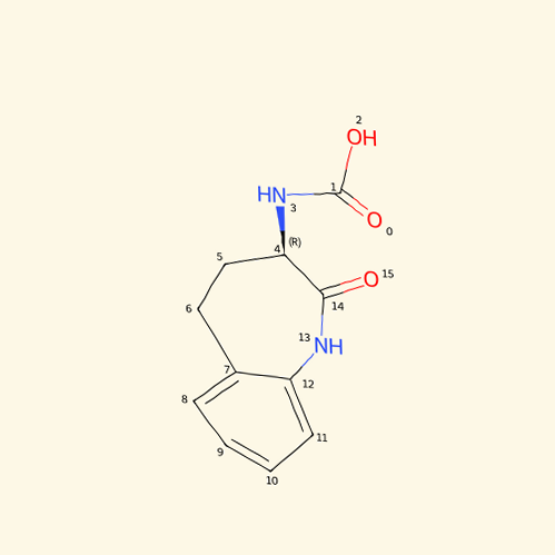 O=C(O)N[C@@H]1CCc2ccccc2NC1=O